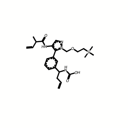 C=CCC(NC(=O)O)c1cccc(-c2c(NC(=O)C(C)C=C)cnn2COCC[Si](C)(C)C)c1